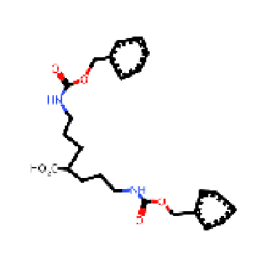 O=C(NCCCC(CCCNC(=O)OCc1ccccc1)C(=O)O)OCc1ccccc1